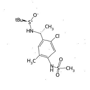 Cc1cc([C@@H](C)N[S@+]([O-])C(C)(C)C)c(Cl)cc1NS(C)(=O)=O